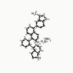 Cc1ccc2c(-c3ccc4snc(C)c4c3)nccc2c1-c1ncccc1-c1ncnc2[nH]ccc12.NN